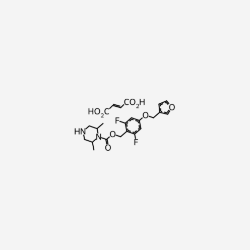 CC1CNCC(C)N1C(=O)OCc1c(F)cc(OCc2ccoc2)cc1F.O=C(O)C=CC(=O)O